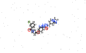 O=C(NCc1ccn2ccnc2c1)Nc1ccc(O[C@@H]2CCN(C(=O)c3cccc(F)c3)C2)cc1